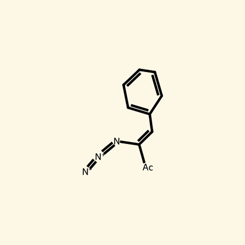 CC(=O)C(=Cc1ccccc1)N=[N+]=[N-]